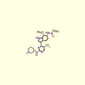 COC(=O)Nc1ccc2c(-c3nc(N[C@H]4CCCN(C)C4)ncc3C(F)(F)F)c[nH]c2c1OC